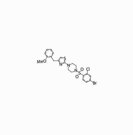 COc1ccccc1Cc1csc(N2CCN(S(=O)(=O)c3ccc(Br)cc3Cl)CC2)n1